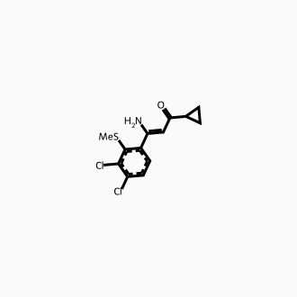 CSc1c(C(N)=CC(=O)C2CC2)ccc(Cl)c1Cl